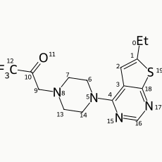 CCc1cc2c(N3CCN(CC(=O)C(F)(F)F)CC3)ncnc2s1